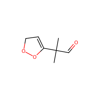 CC(C)(C=O)C1=CCOO1